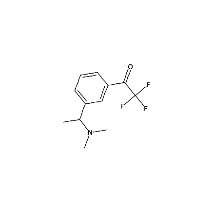 CC(c1cccc(C(=O)C(F)(F)F)c1)N(C)C